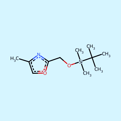 Cc1coc(CO[Si](C)(C)C(C)(C)C)n1